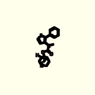 CN(C(=O)O[C@H]1CN2CCC1CC2)c1ccsc1-c1ccccc1